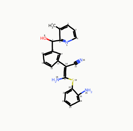 Cc1cccnc1C(O)c1cccc(/C(C#N)=C(\N)Sc2ccccc2N)c1